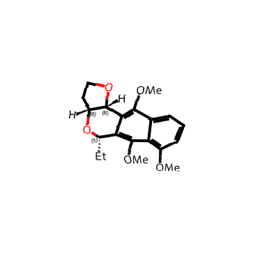 CC[C@@H]1O[C@@H]2CCO[C@@H]2c2c1c(OC)c1c(OC)cccc1c2OC